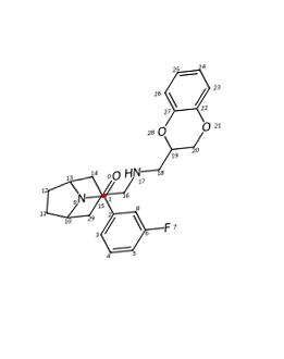 O=C(c1cccc(F)c1)N1C2CCC1CC(CNCC1COc3ccccc3O1)C2